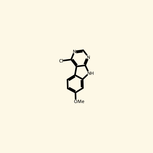 COc1ccc2c(c1)[nH]c1ncnc(Cl)c12